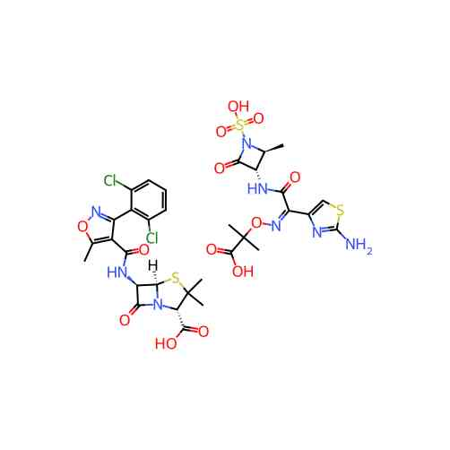 C[C@H]1[C@H](NC(=O)/C(=N\OC(C)(C)C(=O)O)c2csc(N)n2)C(=O)N1S(=O)(=O)O.Cc1onc(-c2c(Cl)cccc2Cl)c1C(=O)N[C@@H]1C(=O)N2[C@@H]1SC(C)(C)[C@@H]2C(=O)O